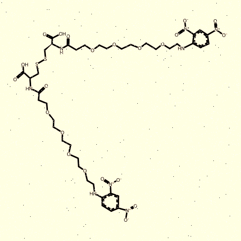 O=C(CCOCCOCCOCCOCCNc1ccc([N+](=O)[O-])cc1[N+](=O)[O-])NC(CSSC[C@H](NC(=O)CCOCCOCCOCCOCCNc1ccc([N+](=O)[O-])cc1[N+](=O)[O-])C(=O)O)C(=O)O